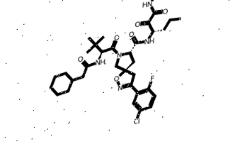 CCC[C@H](NC(=O)[C@@H]1C[C@]2(CC(c3cc(Cl)ccc3F)=NO2)CN1C(=O)[C@@H](NC(=O)CC1CCCCC1)C(C)(C)C)C(=O)C(=O)NC1CC1